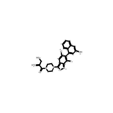 C=C(CO)C(=O)N1CCN(c2snc3c(F)c(-c4cc(O)cc5ccccc45)c(Cl)cc23)CC1